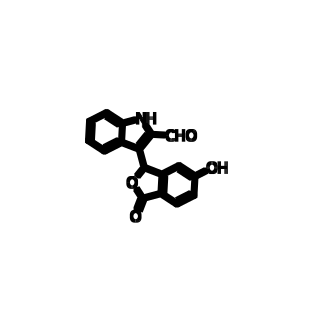 O=Cc1[nH]c2ccccc2c1C1OC(=O)c2ccc(O)cc21